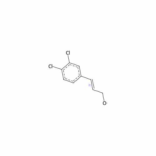 [O]C/C=C/c1ccc(Cl)c(Cl)c1